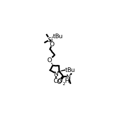 CN(C)C(=O)[C@@]1(C(C)(C)C)C[C@@H](OCCO[Si](C)(C)C(C)(C)C)CN1C(=O)O